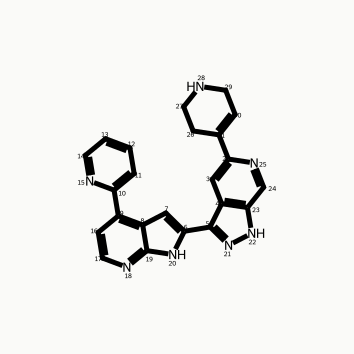 C1=C(c2cc3c(-c4cc5c(-c6ccccn6)ccnc5[nH]4)n[nH]c3cn2)CCNC1